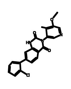 COc1cncc(-n2c(=O)[nH]c3cc(-c4ccccc4Cl)ccc3c2=O)c1C